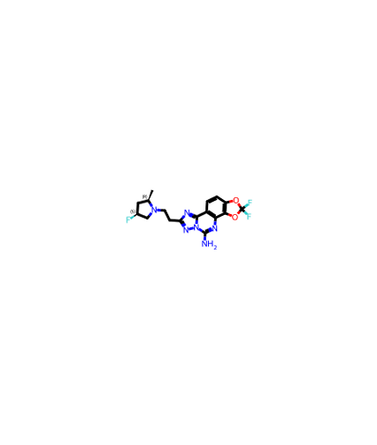 C[C@@H]1C[C@H](F)CN1CCc1nc2c3ccc4c(c3nc(N)n2n1)OC(F)(F)O4